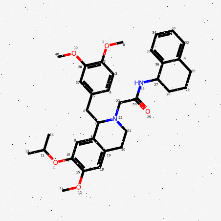 COc1ccc(CC2c3cc(OC(C)C)c(OC)cc3CCN2CC(=O)NC2CCCc3ccccc32)cc1OC